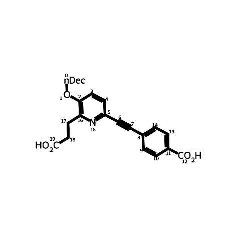 CCCCCCCCCCOc1ccc(C#Cc2ccc(C(=O)O)cc2)nc1CCC(=O)O